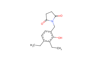 CCc1ccc(CN2C(=O)CCC2=O)c(O)c1CC